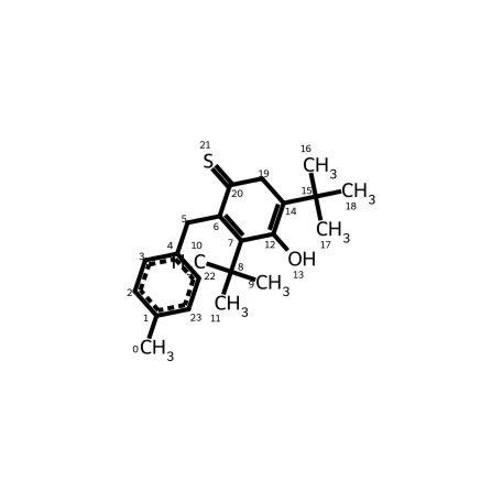 Cc1ccc(CC2=C(C(C)(C)C)C(O)=C(C(C)(C)C)CC2=S)cc1